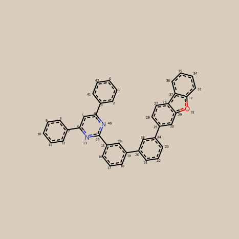 c1ccc(-c2cc(-c3ccccc3)nc(-c3cccc(-c4cccc(-c5ccc6c(c5)oc5ccccc56)c4)c3)n2)cc1